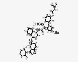 CC1CCCC(C)N1c1nnc2ccc(O[C@@H]3CC[C@H](NC(=O)N(OC=O)c4cc(C(C)(C)C)nn4-c4cccc(OCCN(C)C)c4)c4ccccc43)cn12